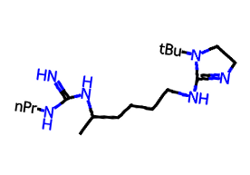 CCCNC(=N)NC(C)CCCCNC1=NCCN1C(C)(C)C